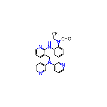 O=CN(CC(F)(F)F)c1ccccc1Nc1ncccc1CN(c1cccnc1)c1cccnc1